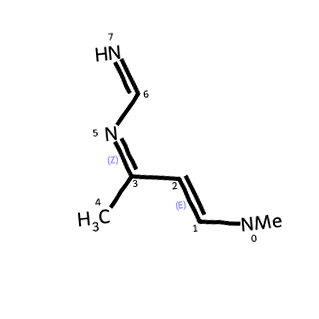 CN/C=C/C(C)=N\C=N